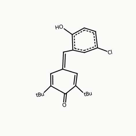 CC(C)(C)C1=CC(=Cc2cc(Cl)ccc2O)C=C(C(C)(C)C)C1=O